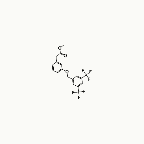 COC(=O)Cc1[c]c(OCc2cc(C(F)(F)F)cc(C(F)(F)F)c2)ccc1